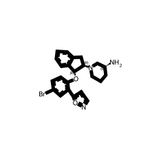 N[C@@H]1CCCN([C@@H]2Cc3ccccc3[C@H]2Oc2ccc(Br)cc2-c2ccno2)C1